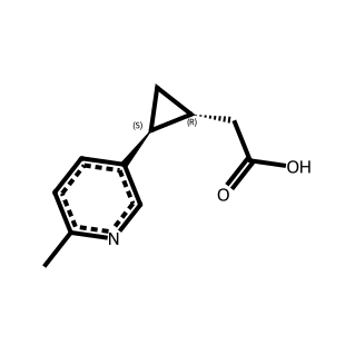 Cc1ccc([C@H]2C[C@@H]2CC(=O)O)cn1